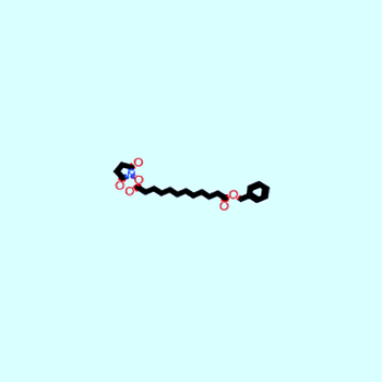 O=C(CCCCCCCCCCC(=O)ON1C(=O)CCC1=O)OCc1ccccc1